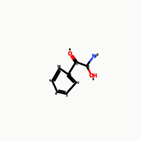 [N]C(O)C(=O)c1ccccc1